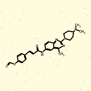 Cc1nc(N2CCC(N(C)C)CC2)nc2ccc(NC(=O)C=Cc3ccc(OC=S)cc3)cc12